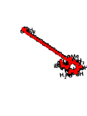 CCC(=O)N[C@H](C(=O)NCC(=O)N[C@@H]1C[S+]([O-])c2[nH]c3c(CSCCOCCOCCOCCOCCOCCOCCOCCOCCOCCOCCOCCN/C=C(\N)CN4C(=O)CCC4=O)c(OC)ccc3c2C[C@@H](C(N)=O)NC(=O)[C@H]([C@@H](C)[C@@H](O)CO)NC(=O)[C@@H]2C[C@@H](O)CN2C(=O)[C@H](CCC(N)=O)NC1=O)[C@@H](C)CC